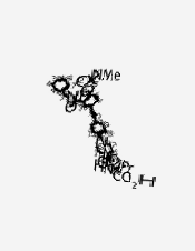 CNC(=O)COc1ccc(C#Cc2ccc(N3CCN(S(=O)(=O)N[C@@H](C(=O)O)C(C)C)CC3)cc2)cc1C(=O)NCc1ccccc1